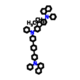 CC1(C)c2cc(N(c3ccccc3)c3ccc(-c4ccc(-c5ccc(N(c6ccccc6)c6cccc7ccccc67)cc5)cc4)cc3)ccc2-c2ccc(N(c3ccccc3)c3cccc4ccccc34)cc21